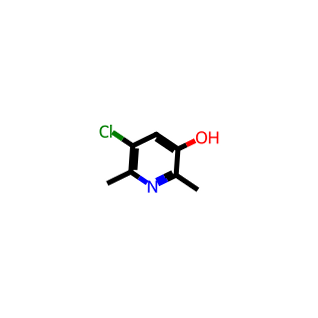 Cc1nc(C)c(Cl)cc1O